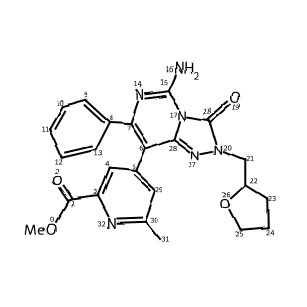 COC(=O)c1cc(-c2c(-c3ccccc3)nc(N)n3c(=O)n(CC4CCCO4)nc23)cc(C)n1